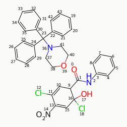 O=C(Nc1ccccc1)C1C=C(Cl)C([N+](=O)[O-])=CC1(O)Cl.c1ccc(C(c2ccccc2)(c2ccccc2)N2CCOCC2)cc1